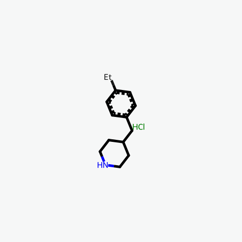 CCc1ccc(CC2CCNCC2)cc1.Cl